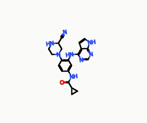 N#CC1CN(c2ccc(NC(=O)C3CC3)cc2Nc2ncnc3[nH]ccc23)CCN1